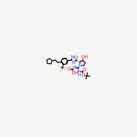 CC(C)(C)OC(=O)N/C(=N\C(=O)O)N1CC[C@H](O)[C@H]1c1nc(-c2ccc(CCC3CCCC3)c(C(F)(F)F)c2)no1